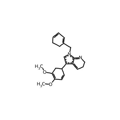 COC1=C(OC)CC(c2cn(CC3=CC=CCC3)c3c2=CCCN=3)C=C1